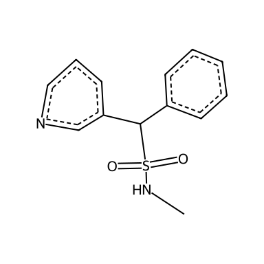 CNS(=O)(=O)C(c1ccccc1)c1cccnc1